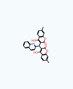 Cc1ccc2c(O)c(C(c3ccc4ccccc4n3)c3c(O)c4ccc(C)cc4oc3=O)c(=O)oc2c1